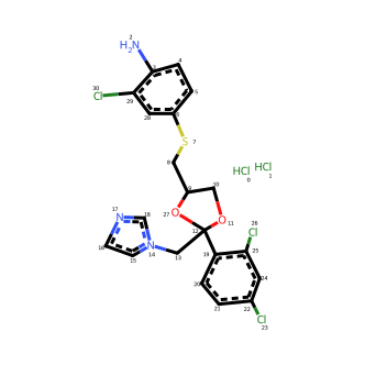 Cl.Cl.Nc1ccc(SCC2COC(Cn3ccnc3)(c3ccc(Cl)cc3Cl)O2)cc1Cl